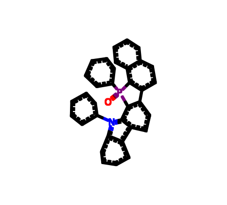 O=P1(c2ccccc2)c2c(ccc3ccccc23)-c2ccc3c4ccccc4n(-c4ccccc4)c3c21